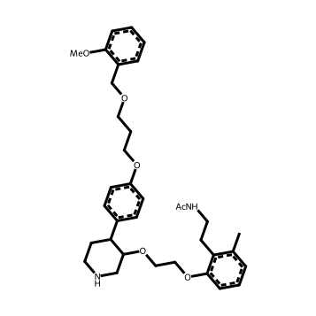 COc1ccccc1COCCCOc1ccc(C2CCNCC2OCCOc2cccc(C)c2CCNC(C)=O)cc1